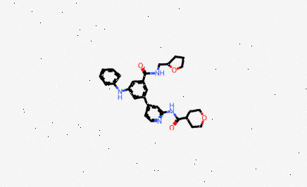 O=C(NCC1CCCO1)c1cc(Nc2ccccc2)cc(-c2ccnc(NC(=O)C3CCOCC3)c2)c1